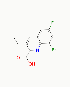 CCc1cc2cc(F)cc(Br)c2nc1C(=O)O